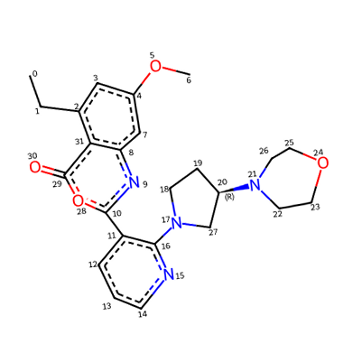 CCc1cc(OC)cc2nc(-c3cccnc3N3CC[C@@H](N4CCOCC4)C3)oc(=O)c12